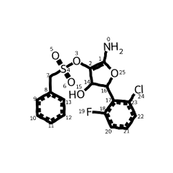 NC1=C(OS(=O)(=O)Cc2ccccc2)C(O)C(c2c(F)cccc2Cl)O1